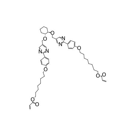 C=CC(=O)OCCCCCCCCOc1ccc(-c2ncc(CO[C@@H]3CCCC[C@H]3OCc3cnc(-c4ccc(OCCCCCCCCOC(=O)C=C)cc4)nc3)cn2)cc1